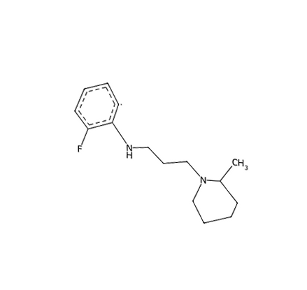 CC1CCCCN1CCCNc1[c]cccc1F